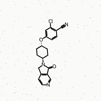 N#Cc1ccc(O[C@H]2CC[C@H](N3Cc4ccncc4C3=O)CC2)cc1Cl